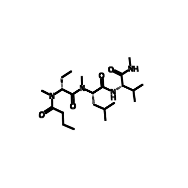 CCCC(=O)N(C)[C@H](CC)C(=O)N(C)[C@@H](CC(C)C)C(=O)N[C@H](C(=O)NC)C(C)C